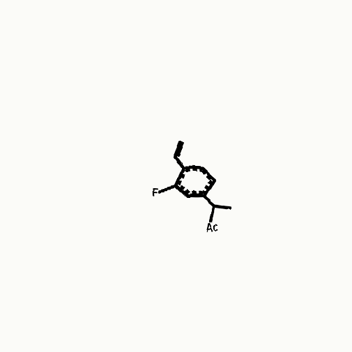 C=Cc1ccc(C(C)C(C)=O)cc1F